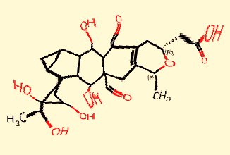 CC(O)C1(O)C(O)C12C1CC1C1C(O)C3C(=O)C4=C(CC3(C=O)C(O)C12)[C@H](C)O[C@@H](CC(=O)O)C4